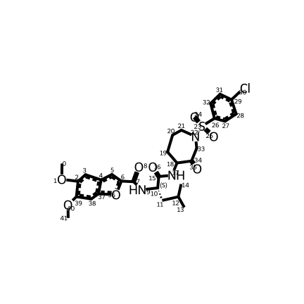 COc1cc2cc(C(=O)N[C@@H](CC(C)C)C(=O)NC3CCCN(S(=O)(=O)c4ccc(Cl)cc4)CC3=O)oc2cc1OC